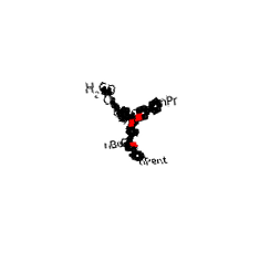 C=CC(=O)OCCCOc1ccc(C(=O)OC2(C#Cc3ccc(C#CC4(OCCCC)CCC(C5CCC(CCCCC)CC5)CC4)cc3)CCC(C3CCC(CCC)CC3)CC2)cc1